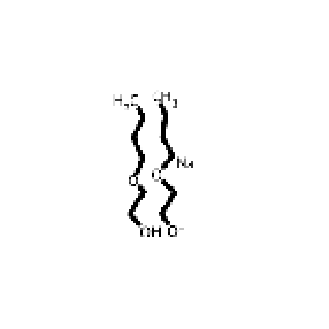 CCCCOCCO.CCCCOCC[O-].[Na+]